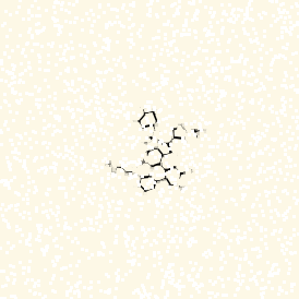 Cc1ccc(S(=O)(=O)n2c(-c3cnn(C(F)(F)F)c3)cc3c(-c4cc(=O)n(C)cc4-c4cccc(OCCN(C)C)c4)cn(C)c(=O)c32)cc1